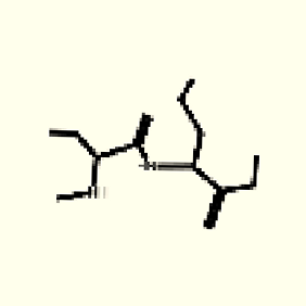 C=C(CC)C(CCC)NC(=C)C(CC)NC